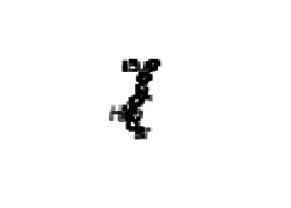 Cc1c(C)n(Cc2ccc(-c3ccccc3C(C)(C)C)cc2)c2ccc(C(=O)N[C@@H](C)c3ccc(Br)cc3)cc12